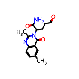 Cc1ccc2nc(C)n(C(CCC=O)C(N)=O)c(=O)c2c1